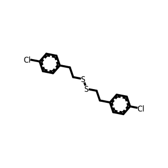 Clc1ccc(CCSSCCc2ccc(Cl)cc2)cc1